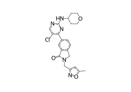 Cc1cc(CN2Cc3ccc(-c4nc(NC5CCOCC5)ncc4Cl)cc3C2=O)no1